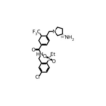 CCS(=O)(=O)c1ccc(Cl)cc1CNC(=O)C1=CC=C(CN2CC[C@H](N)C2)C(C(F)(F)F)C1